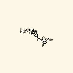 COc1ccc(F)cc1C(=O)NCCc1ccc(S(=O)(=O)NC(=O)NN2CC(C)(C)C2)cc1